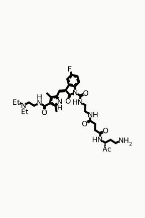 CCN(CC)CCNC(=O)c1c(C)[nH]c(/C=C2\C(=O)N(C(=O)NCCNC(=O)CCC(=O)N[C@@H](CCN)C(C)=O)c3ccc(F)cc32)c1C